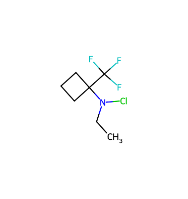 CCN(Cl)C1(C(F)(F)F)CCC1